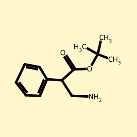 CC(C)(C)OC(=O)C(CN)c1ccccc1